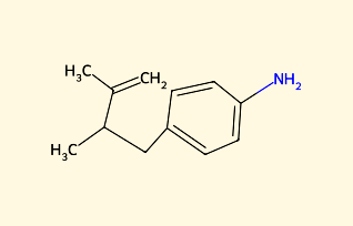 C=C(C)C(C)Cc1ccc(N)cc1